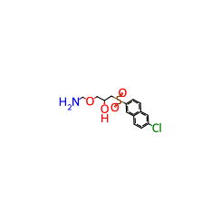 NCOC[C@H](O)CS(=O)(=O)c1ccc2cc(Cl)ccc2c1